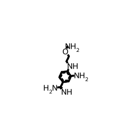 N=C(N)c1ccc(NCCON)c(N)c1